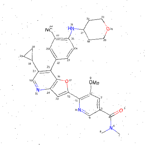 COc1cc(C(=O)N(C)C)cnc1-c1cc2ncc(C3CC3)c(-c3ccc(NC4CCOCC4)c(C#N)c3)c2o1